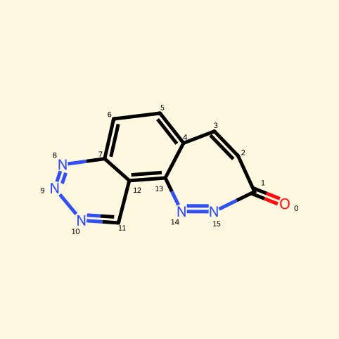 O=c1ccc2ccc3nnncc3c2nn1